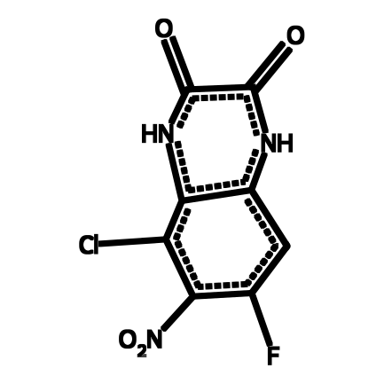 O=c1[nH]c2cc(F)c([N+](=O)[O-])c(Cl)c2[nH]c1=O